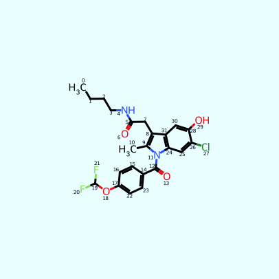 CCCCNC(=O)Cc1c(C)n(C(=O)c2ccc(OC(F)F)cc2)c2cc(Cl)c(O)cc12